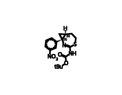 CC(C)(C)OC(=O)NC1=N[C@@]2(c3cccc([N+](=O)[O-])c3)C[C@H]2CCS1